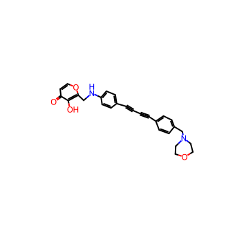 O=c1ccoc(CNc2ccc(C#CC#Cc3ccc(CN4CCOCC4)cc3)cc2)c1O